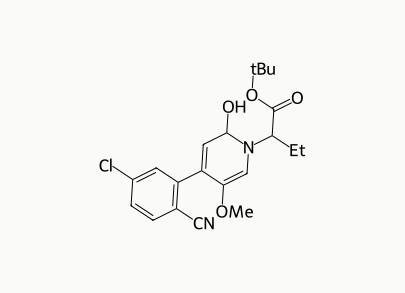 CCC(C(=O)OC(C)(C)C)N1C=C(OC)C(c2cc(Cl)ccc2C#N)=CC1O